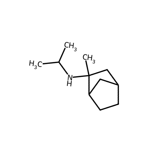 CC(C)NC1(C)CC2CCC1C2